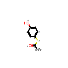 CCCC(=O)Sc1ccc(O)cc1